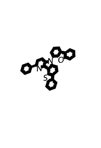 c1ccc(-c2ccc3c(n2)c2c4sc5ccccc5c4ccc2n3-c2cccc3c2oc2ccccc23)cc1